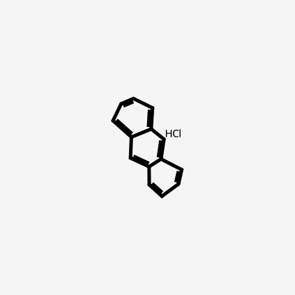 Cl.c1ccc2cc3ccccc3cc2c1